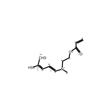 C=CC(=O)OCCN(C)/C=C/C=C(/S)C=O